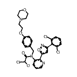 O=C(C(Cl)Cl)N(Cc1ccc(OCCN2CCOCC2)cc1)c1cccnc1-c1cc(-c2c(Cl)cccc2Cl)no1